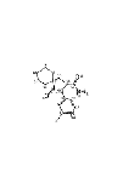 Cc1cc(N2C(=O)C3(C[CH]CCC3)CC2C(N)=O)ccn1